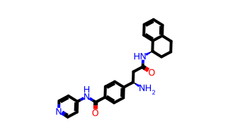 N[C@H](CC(=O)N[C@@H]1CCCc2ccccc21)c1ccc(C(=O)Nc2ccncc2)cc1